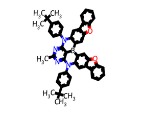 Cc1nc2c3c(n1)N(c1ccc(C(C)(C)C)cc1)c1cc4c(cc1B3c1cc3oc5ccccc5c3cc1N2c1ccc(C(C)(C)C)cc1)oc1ccccc14